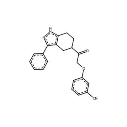 N#Cc1cccc(OCC(=O)N2CCc3[nH]nc(-c4ccccc4)c3C2)c1